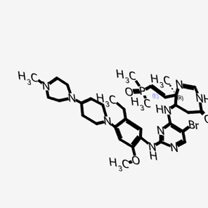 CCc1cc(Nc2ncc(Br)c(NC3CC(=O)NC=N[C@]3(C)/C=C/P(C)(C)=O)n2)c(OC)cc1N1CCC(N2CCN(C)CC2)CC1